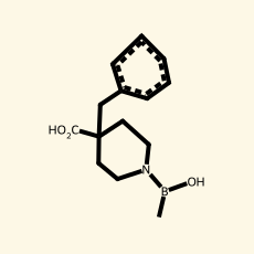 CB(O)N1CCC(Cc2ccccc2)(C(=O)O)CC1